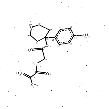 C=C(C)C(=O)OCC(=O)OC1(c2ccc(C)cc2)CCOCC1